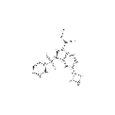 O=C(CCl)c1cn(S(=O)(=O)c2ccccc2)c2cc(C3COC3)ccc12